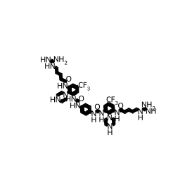 N=C(N)NCCCCC(=O)Nc1cc(C(F)(F)F)cc(NC(=O)Nc2ccc(NC(=O)Nc3cc(C(F)(F)F)cc(NC(=O)CCCCNC(=N)N)c3N3CCNCC3)cc2)c1N1CCNCC1